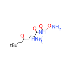 CN(C)NC(CCC(=O)CCC(C)(C)C)C(=O)NC(=O)CON